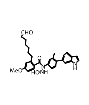 COc1ccc(C(=O)N(NO)c2ccc(-c3ccc4cc[nH]c4c3)c(C)c2)c(CCCCCCC=O)c1